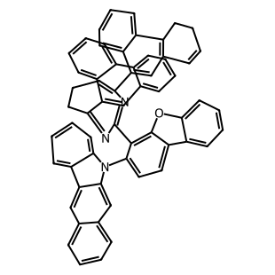 C1=Cc2cc(C3=C/CC/C(c4cc5ccccc5c5ccccc45)=N/C(c4c(-n5c6ccccc6c6cc7ccccc7cc65)ccc5c4oc4ccccc45)=N\3)c3ccccc3c2CC1